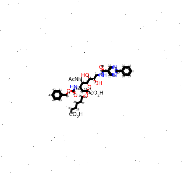 CC(=O)N[C@H]1[C@H]([C@H](O)[C@H](O)CNC(=O)c2cnc(-c3ccccc3)nc2)O[C@@](OCCCCCC(=O)O)(C(=O)O)C[C@@H]1NC(=O)OCc1ccccc1